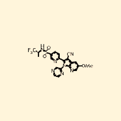 COc1cnc2c(c1)c(C#N)c(-c1ccc(S(=O)(=O)N[C@@H](C)C(F)(F)F)cn1)n2-c1cnccn1